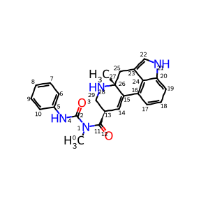 CN(C(=O)Nc1ccccc1)C(=O)[C@@H]1C=C2c3cccc4[nH]cc(c34)C[C@@]2(C)NC1